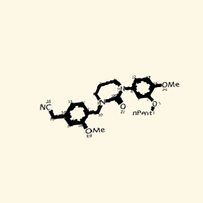 CCCCCOc1cc(N2CCCN(Cc3ccc(CC#N)cc3OC)C2=O)ccc1OC